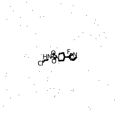 O=S(=O)(NCCCl)N1CCC(c2cccnc2F)CC1